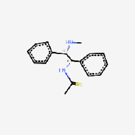 CN[C@@H](c1ccccc1)[C@@H](NC(C)=S)c1ccccc1